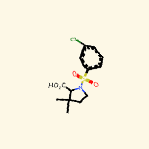 CC1(C)CCN(S(=O)(=O)c2cccc(Cl)c2)C1C(=O)O